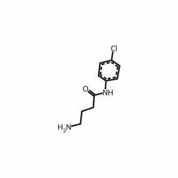 NCCCC(=O)Nc1ccc(Cl)cc1